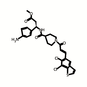 COC(=O)C[C@@H](NC(=O)C1CCN(C(=O)/C=C/c2cc3ccsc3c(Cl)c2Cl)CC1)c1ccc(N)cc1